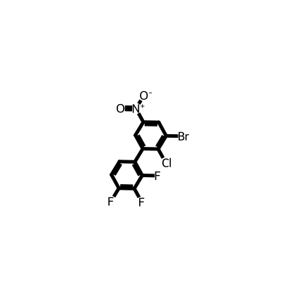 O=[N+]([O-])c1cc(Br)c(Cl)c(-c2ccc(F)c(F)c2F)c1